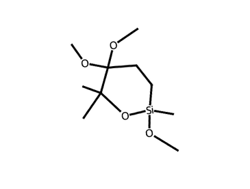 COC1(OC)CC[Si](C)(OC)OC1(C)C